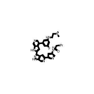 CC(C)CC(=O)Nc1cncc(-c2cc3c(-c4cc5c(-c6cc(F)cc(NCCN(C)C)c6)cncc5[nH]4)n[nH]c3cn2)c1